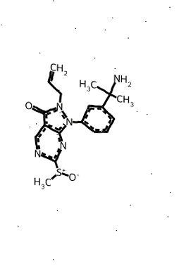 C=CCn1c(=O)c2cnc([S+](C)[O-])nc2n1-c1cccc(C(C)(C)N)c1